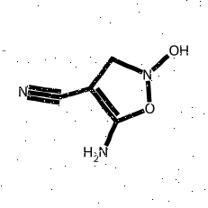 N#CC1=C(N)ON(O)C1